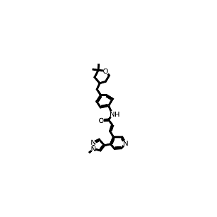 Cn1cc(-c2ccncc2/C=C/C(=O)Nc2ccc(CC3CCOC(C)(C)C3)cc2)cn1